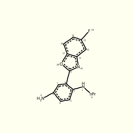 CCCNc1ccc(N)cc1-c1nc2cc(F)ccc2o1